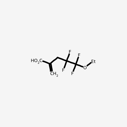 C=C(CC(F)(F)C(F)(F)OCC)C(=O)O